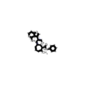 CC/C=C(\C=C1\C=CC=C(C)C(C(=O)Nc2ccccc2)C1)c1coc2ccnc(N)c12